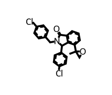 CC1(c2cccc3c2C(c2ccc(Cl)cc2)N(Cc2ccc(Cl)cc2)C3=O)CO1